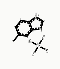 Cc1ccc2[nH]cnc2c1.[Br][Pb]([Br])([Br])[Br]